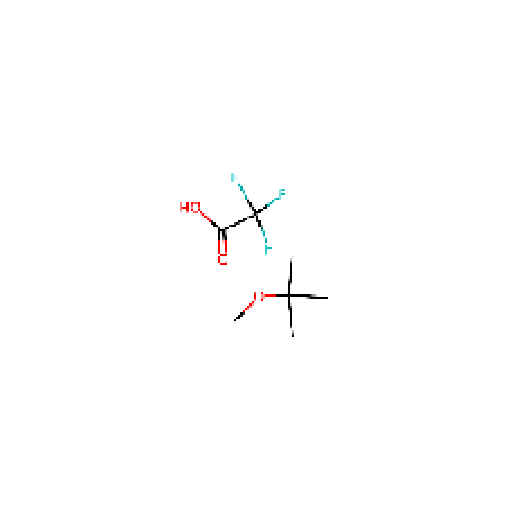 COC(C)(C)C.O=C(O)C(F)(F)F